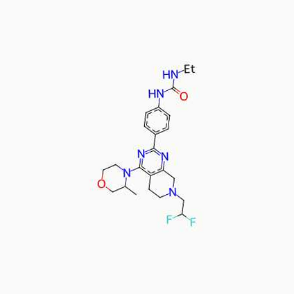 CCNC(=O)Nc1ccc(-c2nc3c(c(N4CCOCC4C)n2)CCN(CC(F)F)C3)cc1